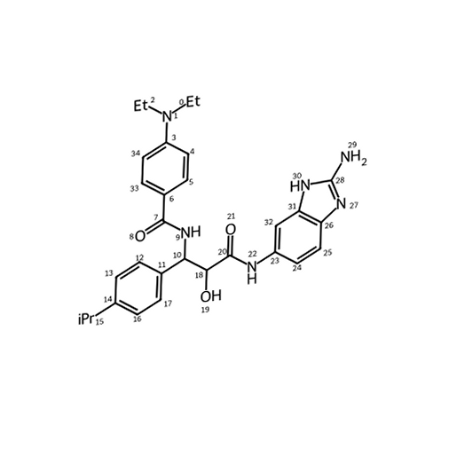 CCN(CC)c1ccc(C(=O)NC(c2ccc(C(C)C)cc2)C(O)C(=O)Nc2ccc3nc(N)[nH]c3c2)cc1